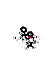 CN(C)C(=O)C(CC(C(=O)N(C)C)(c1ccccc1)c1ccccc1)n1nc(Br)c(Br)c1Br